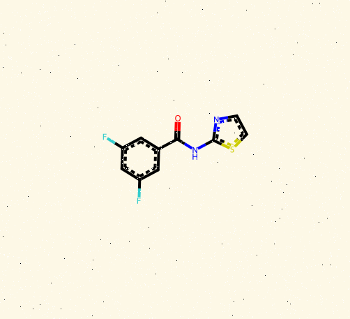 O=C(Nc1nccs1)c1cc(F)cc(F)c1